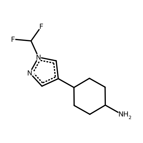 NC1CCC(c2cnn(C(F)F)c2)CC1